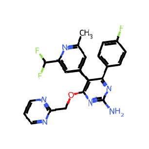 Cc1cc(-c2c(OCc3ncccn3)nc(N)nc2-c2ccc(F)cc2)cc(C(F)F)n1